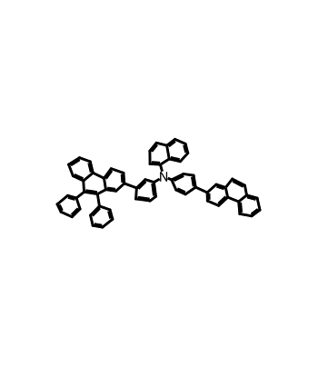 c1ccc(-c2c(-c3ccccc3)c3cc(-c4cccc(N(c5ccc(-c6ccc7c(ccc8ccccc87)c6)cc5)c5cccc6ccccc56)c4)ccc3c3ccccc23)cc1